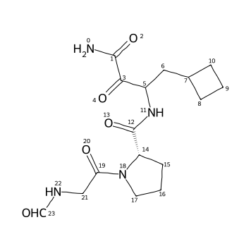 NC(=O)C(=O)C(CC1CCC1)NC(=O)[C@@H]1CCCN1C(=O)CNC=O